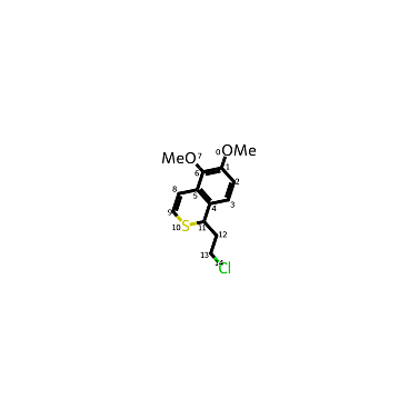 COc1ccc2c(c1OC)C=CSC2CCCl